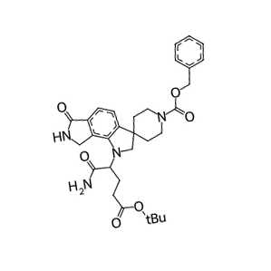 CC(C)(C)OC(=O)CCC(C(N)=O)N1CC2(CCN(C(=O)OCc3ccccc3)CC2)c2ccc3c(c21)CNC3=O